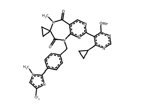 COc1ncnc(C2CC2)c1-c1ncc2c(n1)N(Cc1ccc(-c3nc(C(F)(F)F)cn3C)cc1)C(=O)C1(CC1)N(C)C2=O